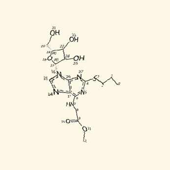 CCCSc1nc(NCC(=O)OC)c2ncn([C@@H]3O[C@H](CO)C(O)C3O)c2n1